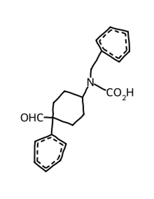 O=CC1(c2ccccc2)CCC(N(Cc2ccccc2)C(=O)O)CC1